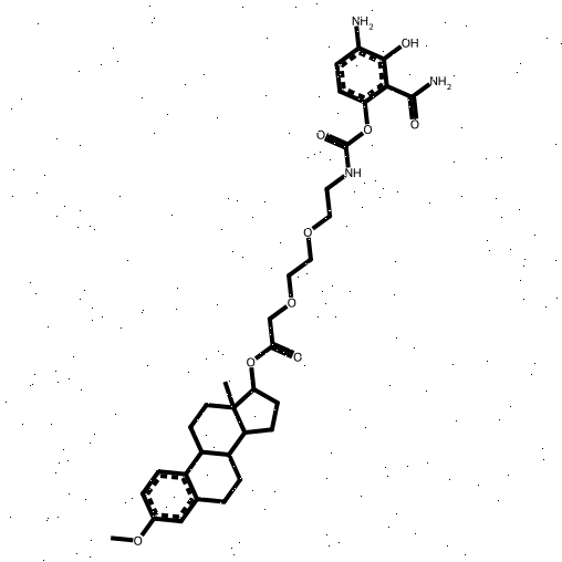 COc1ccc2c(c1)CCC1C2CCC2(C)C(OC(=O)COCCOCCNC(=O)Oc3ccc(N)c(O)c3C(N)=O)CCC12